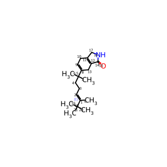 C/C(=C\CCC(C)(C)C1=CCC2=C(C1)C(=O)NC2)C(C)(C)C